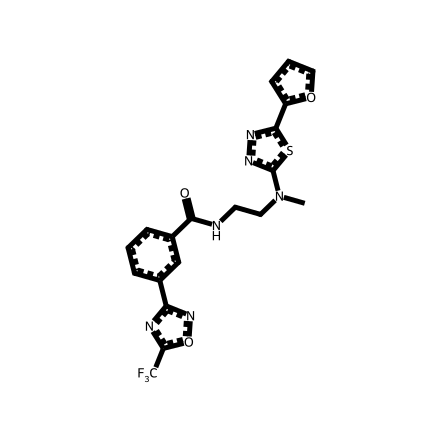 CN(CCNC(=O)c1cccc(-c2noc(C(F)(F)F)n2)c1)c1nnc(-c2ccco2)s1